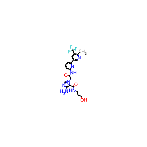 Cc1ncc(-c2cccc(NC(=O)Cn3cnc(N)c3C(=O)NCCCO)n2)cc1C(F)(F)F